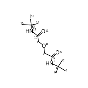 CC(C)(C)NC(=O)COCC(=O)NC(C)(C)I